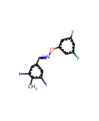 Cc1c(I)cc(/C=N/Oc2cc(F)cc(F)c2)cc1I